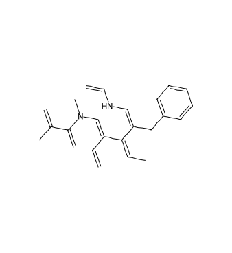 C=CN\C=C(Cc1ccccc1)/C(=C\C)C(/C=C)=C/N(C)C(=C)C(=C)C